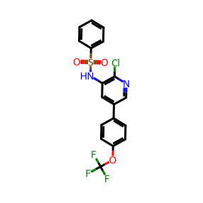 O=S(=O)(Nc1cc(-c2ccc(OC(F)(F)F)cc2)cnc1Cl)c1ccccc1